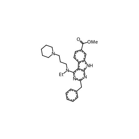 CCN(CCCN1CCCCC1)c1nc(Cc2ccccc2)nc2[nH]c3cc(C(=O)OC)ccc3c12